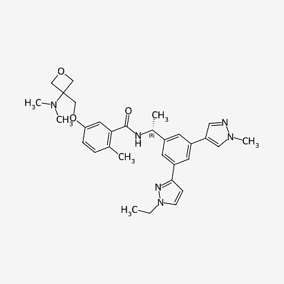 CCn1ccc(-c2cc(-c3cnn(C)c3)cc([C@@H](C)NC(=O)c3cc(OCC4(N(C)C)COC4)ccc3C)c2)n1